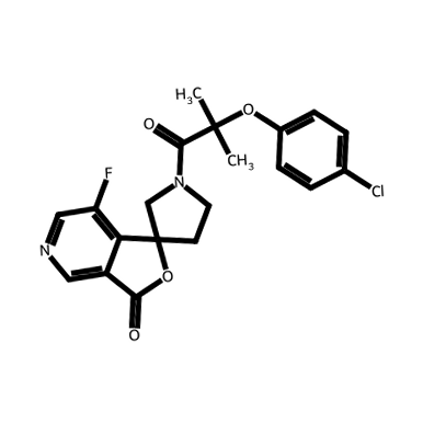 CC(C)(Oc1ccc(Cl)cc1)C(=O)N1CCC2(C1)OC(=O)c1cncc(F)c12